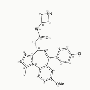 COc1ccc2c(c1)C(c1ccc(Cl)cc1)=N[C@@H](CC(=O)NC1CNC1)c1nnc(C)n1-2